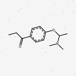 CCC(=O)c1ccc(OC(C)N(C)C)cc1